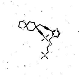 C[Si](C)(C)C#CC1(CC#Cc2nccn2COCC[Si](C)(C)C)CCC2(CC1)OCCO2